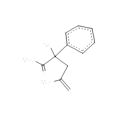 COC(=O)CC(C#N)(C(=O)OC)c1ccccc1